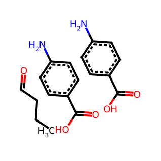 CCCC=O.Nc1ccc(C(=O)O)cc1.Nc1ccc(C(=O)O)cc1